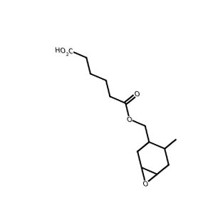 CC1CC2OC2CC1COC(=O)CCCCC(=O)O